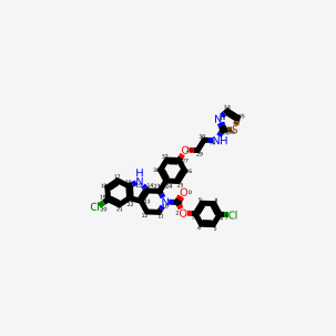 O=C(Oc1ccc(Cl)cc1)N1CCc2c([nH]c3ccc(Cl)cc23)C1c1ccc(OCCNc2nccs2)cc1